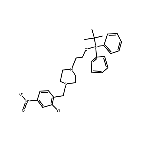 CC(C)(C)[Si](OCCN1CCN(Cc2ccc([N+](=O)[O-])cc2Cl)CC1)(c1ccccc1)c1ccccc1